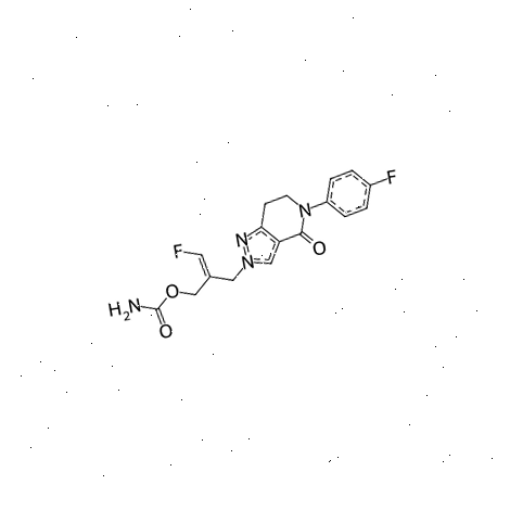 NC(=O)OCC(=CF)Cn1cc2c(n1)CCN(c1ccc(F)cc1)C2=O